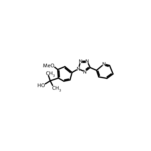 COc1cc(-n2nnc(-c3ccccn3)n2)ccc1C(C)(C)O